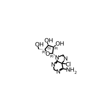 NC1=NCN=C2N([C@@H]3O[C@H](CO)[C@@H](O)[C@H]3O)C=NC12Cl